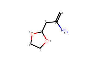 C=C(N)CC1OCCO1